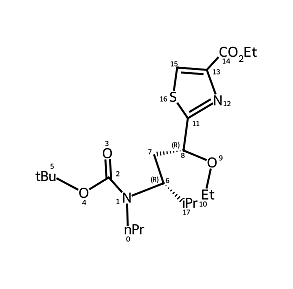 CCCN(C(=O)OC(C)(C)C)[C@H](C[C@@H](OCC)c1nc(C(=O)OCC)cs1)C(C)C